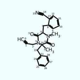 C#CCN1C(=O)C(Cc2ccccc2C#N)N(C)C(=O)C1(C)Cc1ccccc1